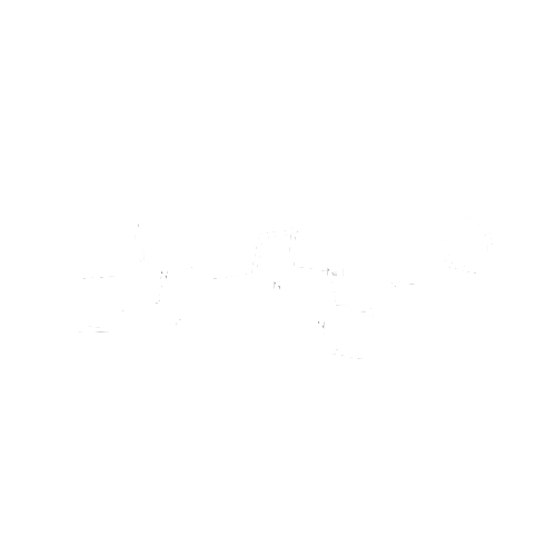 O=C1C2C=CC=CC2C(=O)N1CCc1csc(Nc2ncccc2OCc2ccccc2)n1